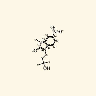 Cn1c(=O)n(CCC(C)(C)O)c2ccc([N+](=O)[O-])cc21